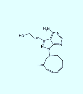 C=C1/C=C\C=C/CCC(n2nc(/C=C/CO)c3c(N)ncnc32)C1